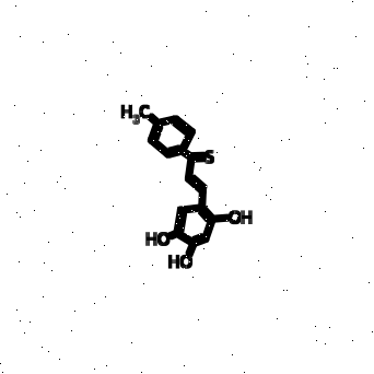 Cc1ccc(C(=S)C=Cc2cc(O)c(O)cc2O)cc1